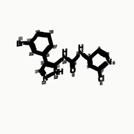 O=C(Nc1ccnc(Cl)c1)Nc1[nH]ncc1-c1cccc(Br)c1